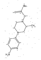 CC1CN(c2ccc(N)nc2)CCN1OC(=O)C(C)(C)C